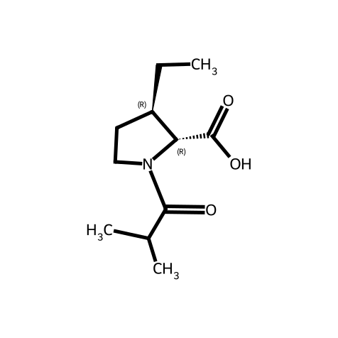 CC[C@@H]1CCN(C(=O)C(C)C)[C@H]1C(=O)O